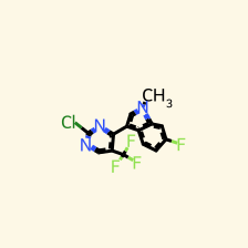 Cn1cc(-c2nc(Cl)ncc2C(F)(F)F)c2ccc(F)cc21